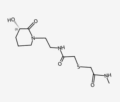 CNC(=O)CSCC(=O)NCCN1CCC[C@H](O)C1=O